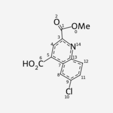 COC(=O)c1cc(C(=O)O)c2cc(Cl)ccc2n1